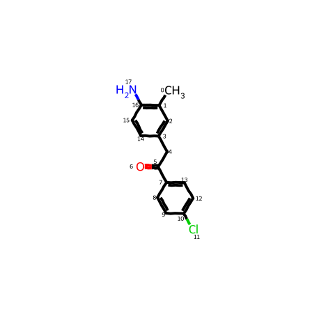 Cc1cc(CC(=O)c2ccc(Cl)cc2)ccc1N